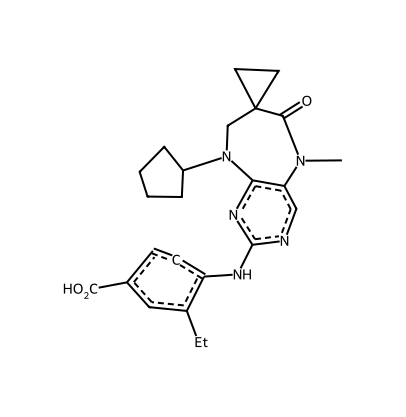 CCc1cc(C(=O)O)ccc1Nc1ncc2c(n1)N(C1CCCC1)CC1(CC1)C(=O)N2C